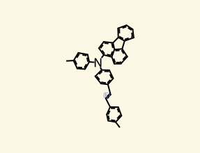 Cc1ccc(/C=C/c2ccc(N(c3ccc(C)cc3)c3ccc4c5c(cccc35)-c3ccccc3-4)cc2)cc1